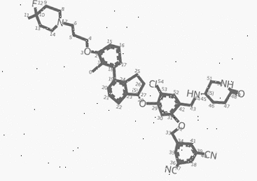 Cc1c(OCCCN2CCC(C)(F)CC2)cccc1-c1cccc2c1CC[C@@H]2Oc1cc(OCc2cc(C#N)cc(C#N)c2)c(CN[C@H]2CCC(=O)NC2)cc1Cl